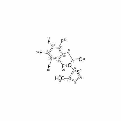 Cc1ccsc1OC(=O)Cc1c(F)c(F)c(F)c(F)c1F